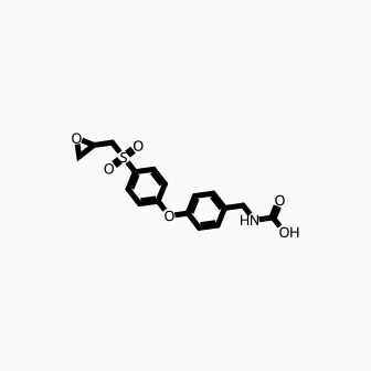 O=C(O)NCc1ccc(Oc2ccc(S(=O)(=O)CC3CO3)cc2)cc1